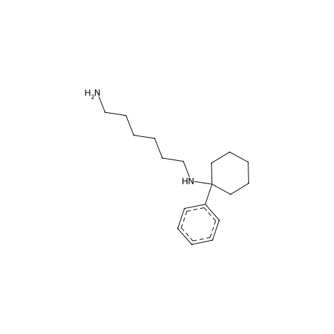 NCCCCCCNC1(c2ccccc2)CCCCC1